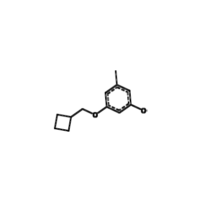 Cc1cc([O])cc(OCC2CCC2)c1